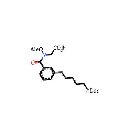 CCCCCCCCCCCCCCCc1cccc(C(=O)N(CC(=O)O)OC)c1